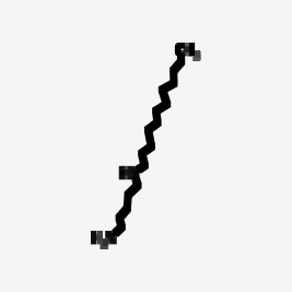 CCCCCCCCCCCCNCCCCCN